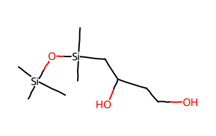 C[Si](C)(C)O[Si](C)(C)CC(O)CCO